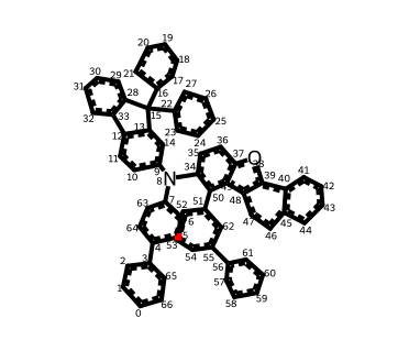 c1ccc(-c2ccc(N(c3ccc4c(c3)C(c3ccccc3)(c3ccccc3)c3ccccc3-4)c3ccc4oc5c6ccccc6ccc5c4c3-c3cccc(-c4ccccc4)c3)cc2)cc1